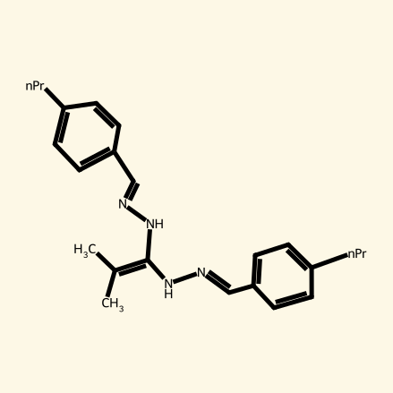 CCCc1ccc(/C=N/NC(N/N=C/c2ccc(CCC)cc2)=C(C)C)cc1